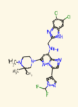 CN1CCN(c2cc(NCc3nc4cc(Cl)c(Cl)cc4[nH]3)c3ncc(-c4cnn(C(F)F)c4)n3n2)CC1(C)C